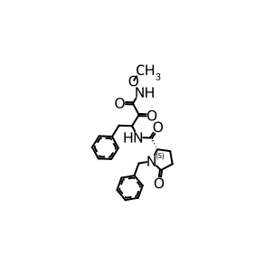 CONC(=O)C(=O)C(Cc1ccccc1)NC(=O)[C@@H]1CCC(=O)N1Cc1ccccc1